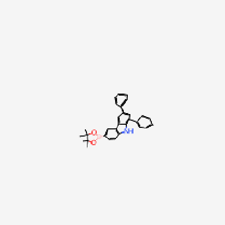 CC1(C)OB(c2ccc3[nH]c4c(-c5ccccc5)cc(-c5ccccc5)cc4c3c2)OC1(C)C